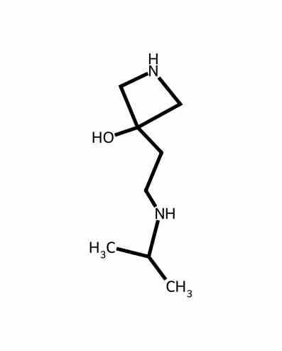 CC(C)NCCC1(O)CNC1